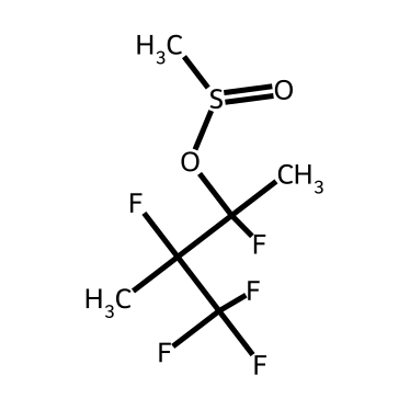 CS(=O)OC(C)(F)C(C)(F)C(F)(F)F